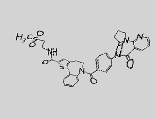 CS(=O)(=O)CCNC(=O)c1cc2c(s1)-c1ccccc1N(C(=O)c1ccc(NC(=O)c3cccnc3N3CCCC3)cc1)CC2